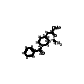 C=C[C@@H]1CN(C(=O)c2ccccc2)CC[C@H]1CC(=O)OC